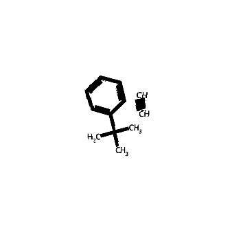 C#C.CC(C)(C)c1ccccc1